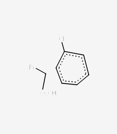 CC(C)CC(=O)O.Clc1ccccc1